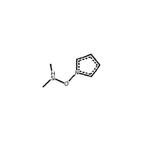 C[SiH](C)On1cccc1